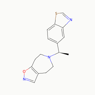 C[C@H](c1ccc2scnc2c1)N1CCc2cnoc2CC1